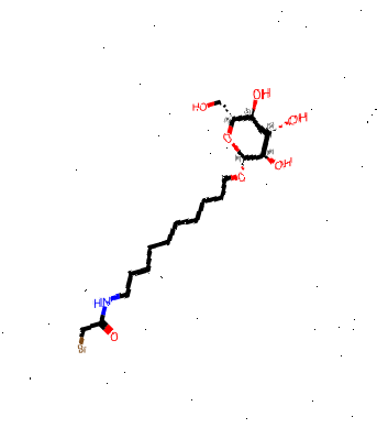 O=C(CBr)NCCCCCCCCCCO[C@@H]1O[C@H](CO)[C@@H](O)[C@H](O)[C@H]1O